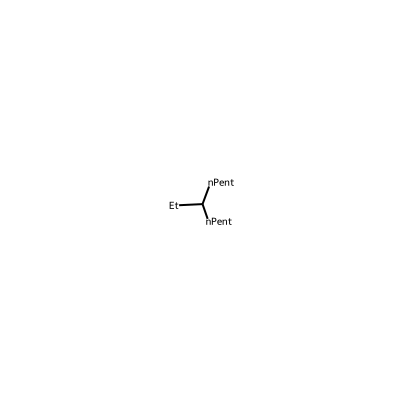 [CH2]CC(CCCCC)CCCCC